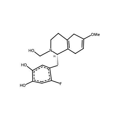 COC1=CCC2=C(CCN(CO)[C@H]2Cc2cc(O)c(O)cc2F)C1